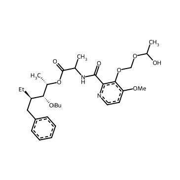 CC[C@H](Cc1ccccc1)[C@@H](OCC(C)C)[C@H](C)OC(=O)C(C)NC(=O)c1nccc(OC)c1OCOC(C)O